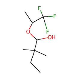 CCC(C)(C)C(O)OC(C)C(F)(F)F